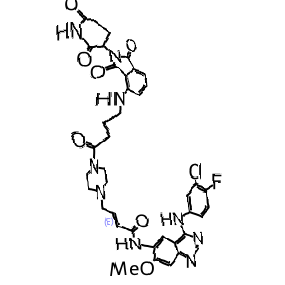 COc1cc2ncnc(Nc3ccc(F)c(Cl)c3)c2cc1NC(=O)/C=C/CN1CCN(C(=O)CCCNc2cccc3c2C(=O)N(C2CCC(=O)NC2=O)C3=O)CC1